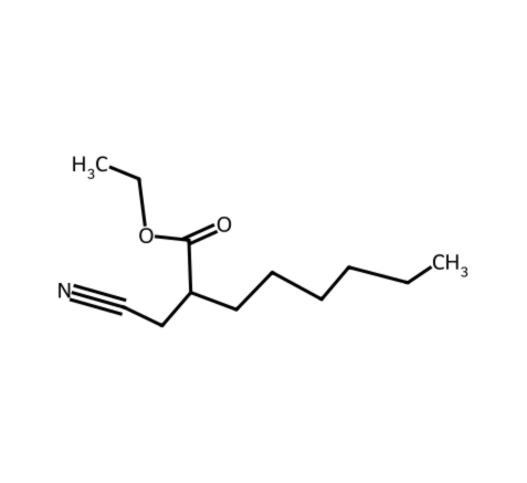 CCCCCCC(CC#N)C(=O)OCC